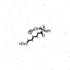 CC(C)O.CCCCCCCCCCCCCCCC(=O)[N+](C)(C)CCC.[Cl-]